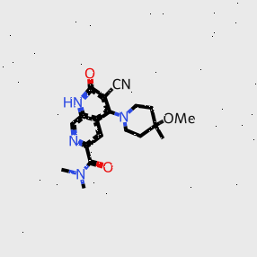 COC1(C)CCN(c2c(C#N)c(=O)[nH]c3cnc(C(=O)N(C)C)cc23)CC1